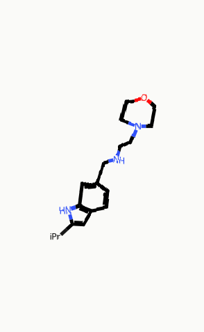 CC(C)c1cc2ccc(CNCCN3CCOCC3)cc2[nH]1